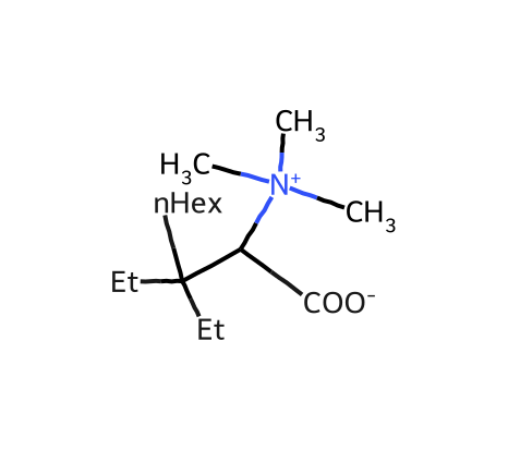 CCCCCCC(CC)(CC)C(C(=O)[O-])[N+](C)(C)C